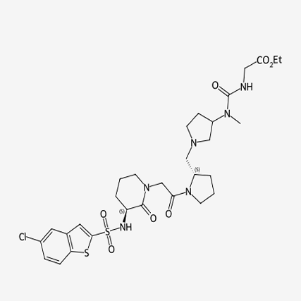 CCOC(=O)CNC(=O)N(C)C1CCN(C[C@@H]2CCCN2C(=O)CN2CCC[C@H](NS(=O)(=O)c3cc4cc(Cl)ccc4s3)C2=O)C1